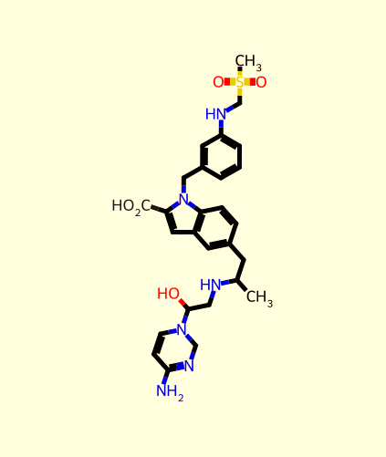 CC(Cc1ccc2c(c1)cc(C(=O)O)n2Cc1cccc(NCS(C)(=O)=O)c1)NCC(O)N1C=CC(N)=NC1